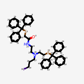 O=C(CSC(c1ccccc1)(c1ccccc1)c1ccccc1)NCCN(CCCI)CCSC(c1ccccc1)(c1ccccc1)c1ccccc1